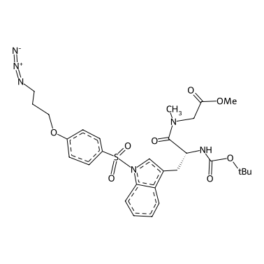 COC(=O)CN(C)C(=O)[C@@H](Cc1cn(S(=O)(=O)c2ccc(OCCCN=[N+]=[N-])cc2)c2ccccc12)NC(=O)OC(C)(C)C